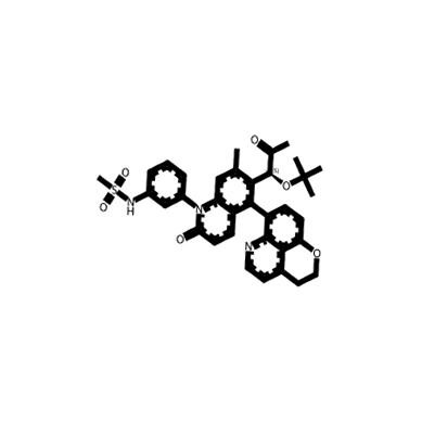 CC(=O)[C@@H](OC(C)(C)C)c1c(C)cc2c(ccc(=O)n2-c2cccc(NS(C)(=O)=O)c2)c1-c1ccc2c3c(ccnc13)CCO2